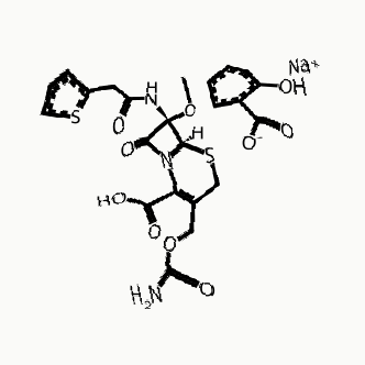 CO[C@@]1(NC(=O)Cc2cccs2)C(=O)N2C(C(=O)O)=C(COC(N)=O)CS[C@@H]21.O=C([O-])c1ccccc1O.[Na+]